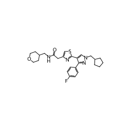 O=C(Cc1csc(-c2cn(CC3CCCC3)nc2-c2ccc(F)cc2)n1)NCC1CCOCC1